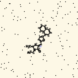 C=c1s/c(=C\c2ccc(-c3cccc4ccccc34)o2)c(=O)n1CC(C)=O